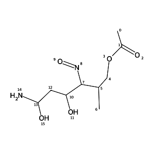 CC(=O)OCC(C)C(N=O)C(O)CC(N)O